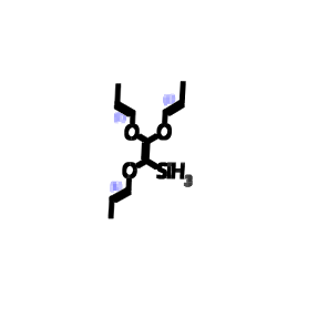 C/C=C/OC([SiH3])=C(O/C=C/C)O/C=C/C